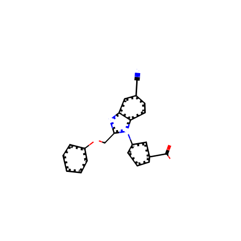 N#Cc1ccc2c(c1)nc(COc1ccccc1)n2-c1cccc(C(=O)O)c1